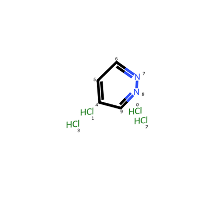 Cl.Cl.Cl.Cl.c1ccnnc1